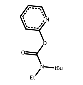 CCN(C(=O)Oc1ccccn1)C(C)(C)C